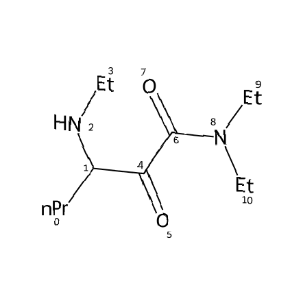 CCCC(NCC)C(=O)C(=O)N(CC)CC